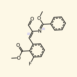 COC(=O)c1c(F)cccc1/C=C(C=O)\N=C(/OC)c1ccccc1